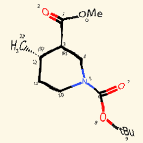 COC(=O)[C@H]1CN(C(=O)OC(C)(C)C)CC[C@@H]1C